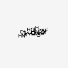 CCC(C=N)CCc1ccc(NC(=O)c2ccc(F)cn2)cc1.Cl